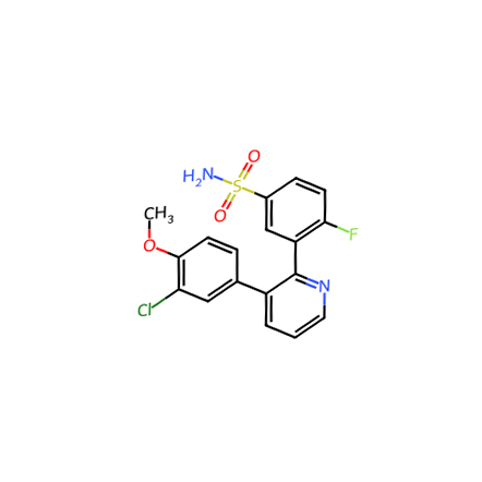 COc1ccc(-c2cccnc2-c2cc(S(N)(=O)=O)ccc2F)cc1Cl